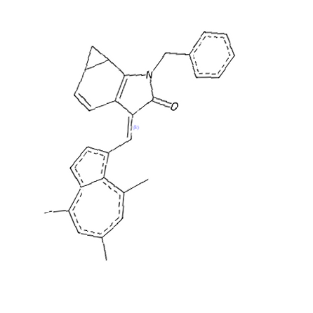 Cc1cc(C)c2ccc(/C=C3/C(=O)N(Cc4ccccc4)C4=C3C=CC3CC43)c-2c(C)c1